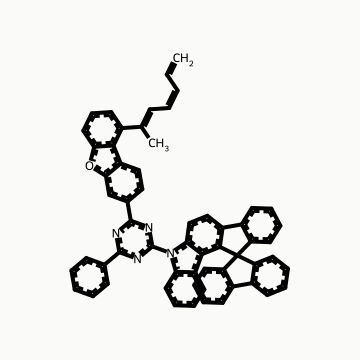 C=C/C=C\C=C(/C)c1cccc2oc3cc(-c4nc(-c5ccccc5)nc(-n5c6ccccc6c6c7c(ccc65)-c5ccccc5C75c6ccccc6-c6ccccc65)n4)ccc3c12